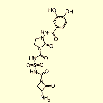 NC1CN(C(=O)NS(=O)(=O)NC(=O)N2CCN(NC(=O)c3ccc(O)c(O)c3)C2=O)C1=O